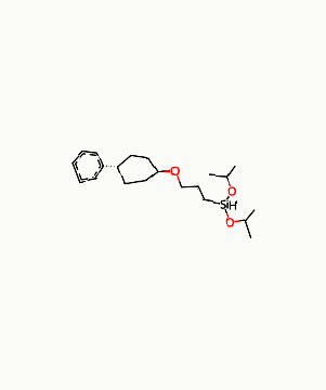 CC(C)O[SiH](CCCO[C@H]1CC[C@H](c2ccccc2)CC1)OC(C)C